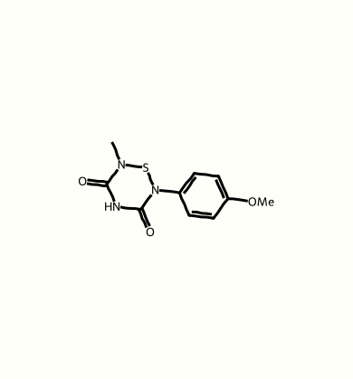 COc1ccc(N2SN(C)C(=O)NC2=O)cc1